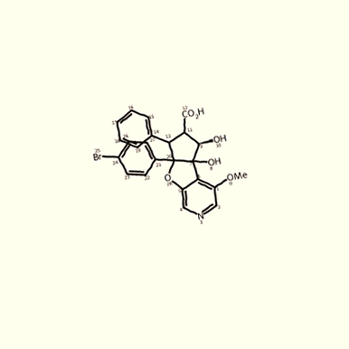 COc1cncc2c1C1(O)[C@H](O)C(C(=O)O)C(c3ccccc3)C1(c1ccc(Br)cc1)O2